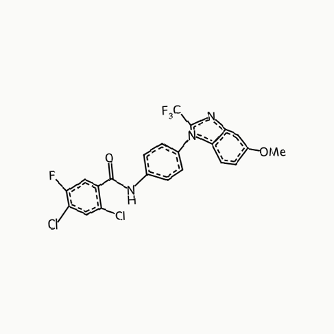 COc1ccc2c(c1)nc(C(F)(F)F)n2-c1ccc(NC(=O)c2cc(F)c(Cl)cc2Cl)cc1